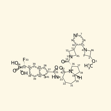 COC1CN(c2ccncc2C2CN(C(=O)[C@@H]3CC[C@@H]4CCC[C@H](NC(=O)c5cc6cc([C@@H](F)P(=O)(O)O)ccc6s5)C(=O)N43)C2)C1